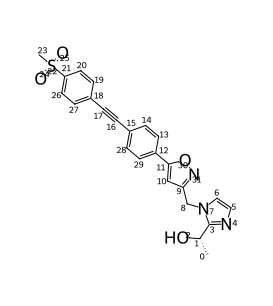 C[C@H](O)c1nccn1Cc1cc(-c2ccc(C#Cc3ccc(S(C)(=O)=O)cc3)cc2)on1